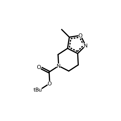 Cc1onc2c1CN(C(=O)OC(C)(C)C)CC2